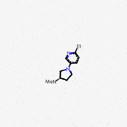 CCc1ccc(N2CC[C@@H](NC)C2)cn1